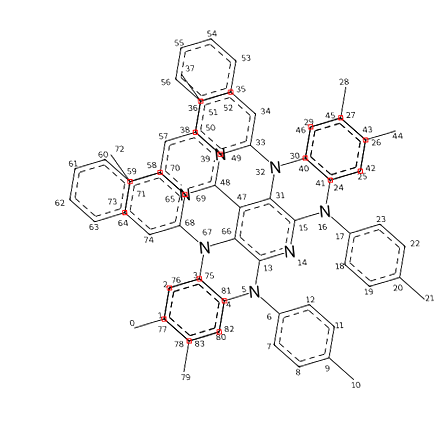 Cc1ccc(N(c2ccc(C)cc2)c2nc(N(c3ccc(C)cc3)c3ccc(C)cc3)c(N(c3ccc(C)cc3)c3ccc(C)cc3)c(-c3nc(-c4ccccc4)cc(-c4ccccc4)n3)c2N(c2ccc(C)cc2)c2ccc(C)cc2)cc1